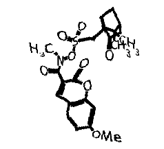 COc1ccc2cc(C(=O)N(C)OS(=O)(=O)CC34CCC(CC3=O)C4(C)C)c(=O)oc2c1